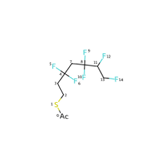 CC(=O)SCCC(F)(F)CC(F)(F)C(F)CF